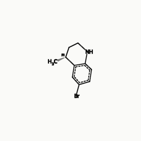 C[C@@H]1CCNc2ccc(Br)cc21